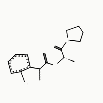 CC(C(=O)O[C@H](C)C(=O)N1CCCC1)c1ccccc1Cl